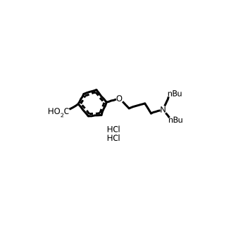 CCCCN(CCCC)CCCOc1ccc(C(=O)O)cc1.Cl.Cl